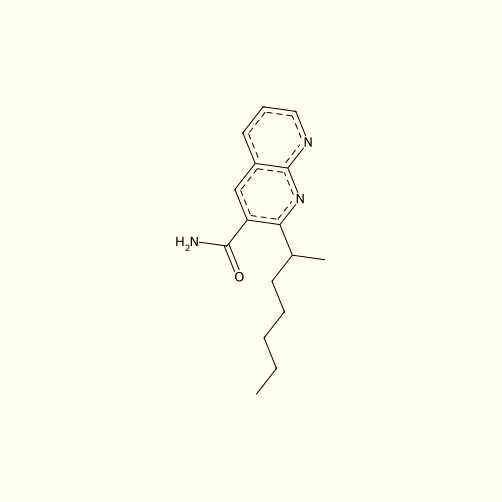 CCCCCC(C)c1nc2ncccc2cc1C(N)=O